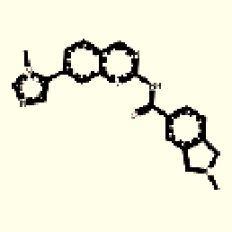 CN1Cc2ccc(C(=O)Nc3ncc4ccc(-c5cncn5C)cc4n3)cc2C1